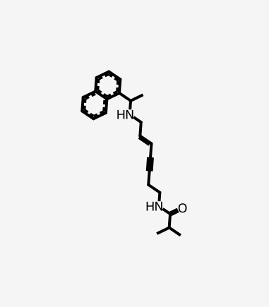 CC(C)C(=O)NCCC#CC=CCNC(C)c1cccc2ccccc12